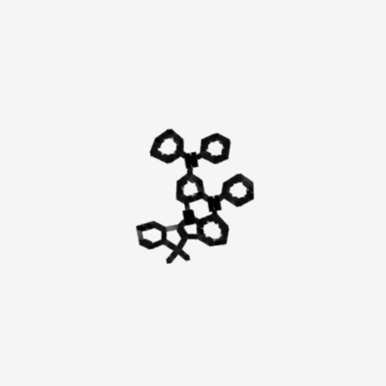 CC1(C)C2=C(B3c4ccc(N(c5ccccc5)c5ccccc5)cc4N(c4ccccc4)c4cccc2c43)C2C=CC=CC21